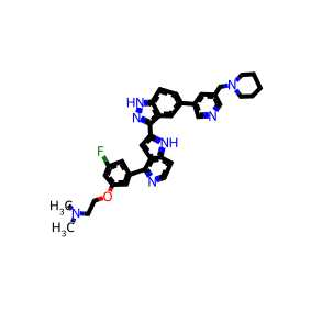 CN(C)CCOc1cc(F)cc(-c2nccc3[nH]c(-c4n[nH]c5ccc(-c6cncc(CN7CCCCC7)c6)cc45)cc23)c1